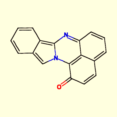 O=c1ccc2cccc3nc4c5ccccc5cn4c1c23